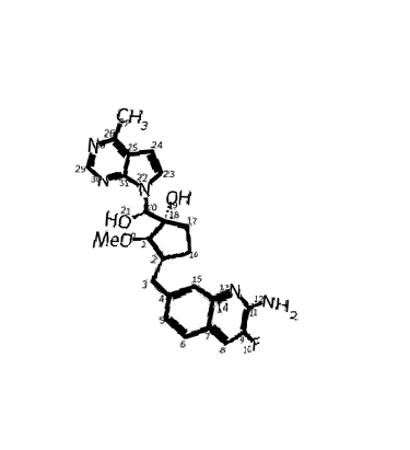 CO[C@@H]1[C@H](Cc2ccc3cc(F)c(N)nc3c2)CC[C@]1(O)[C@@H](O)n1ccc2c(C)ncnc21